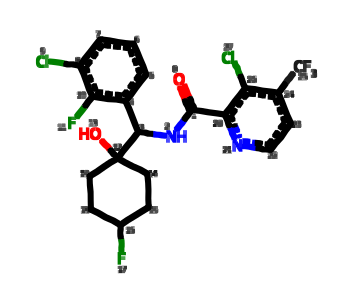 O=C(NC(c1cccc(Cl)c1F)C1(O)CCC(F)CC1)c1nccc(C(F)(F)F)c1Cl